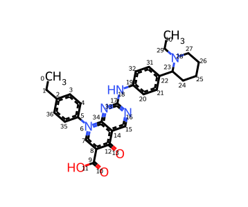 CCc1ccc(-n2cc(C(=O)O)c(=O)c3cnc(Nc4ccc(C5CCCCN5CC)cc4)nc32)cc1